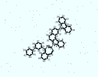 C1=CC(n2c3ccccc3c3c4cc(-n5c6ccccc6c6ccccc65)ccc4ccc32)=NC(c2cccc(-c3ccccc3)c2)=c2ccccc2=1